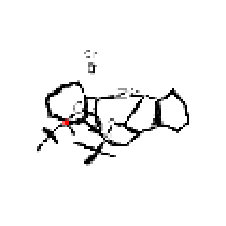 CC(C)(C)[Si](C)(C)OC1=C2CCC3=C(O[Si](C)(C)C(C)(C)C)[CH]([Zr+2][CH]1C1=C2CCCC1)C1=C3CCCC1.[Cl-].[Cl-]